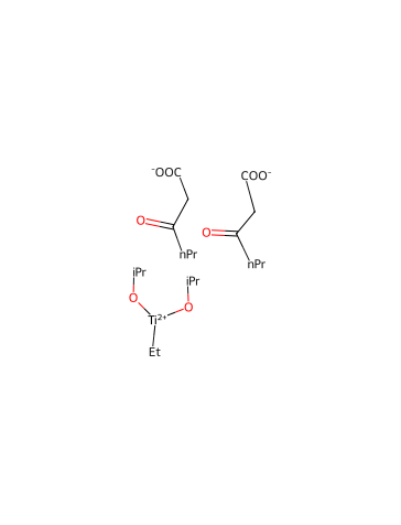 CCCC(=O)CC(=O)[O-].CCCC(=O)CC(=O)[O-].C[CH2][Ti+2]([O]C(C)C)[O]C(C)C